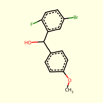 COc1ccc(C(O)c2cc(Br)ccc2F)cc1